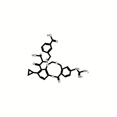 N=C(N)Nc1ccc2c(c1)CCCOc1c(ccc(C3CC3)c1C(=O)C(NCc1cccc(C(=O)O)c1)C(=O)O)OC2=O